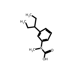 CCC(CC)c1cccc(N(C)C(=O)O)c1